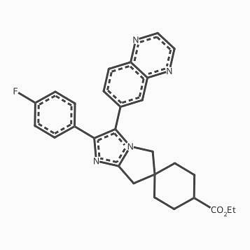 CCOC(=O)C1CCC2(CC1)Cc1nc(-c3ccc(F)cc3)c(-c3ccc4nccnc4c3)n1C2